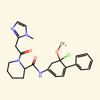 Cn1ccnc1CC(=O)N1CCCCC1C(=O)NC1=CC=C(c2ccccc2)C(Cl)(OC(F)(F)F)C1